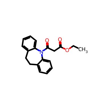 CCOC(=O)CC(=O)N1c2ccccc2CCc2ccccc21